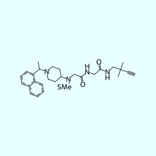 C#CC(C)(C)CNC(=O)CNC(=O)CN(SC)C1CCN(C(C)c2cccc3ccccc23)CC1